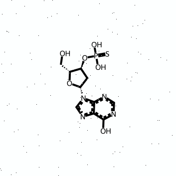 OC[C@H]1O[C@@H](n2cnc3c(O)ncnc32)C[C@@H]1OP(O)(O)=S